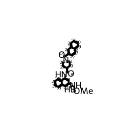 COBNc1cc(NC(=O)C2CCN(C(=O)c3ccc4ccccc4c3)CC2)c2ccccc2c1